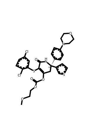 COCCOC(=O)OC1=C(Sc2cc(Cl)ccc2Cl)C(=O)N[C@@](c2ccc(N3CCOCC3)cc2)(c2ccsc2)C1